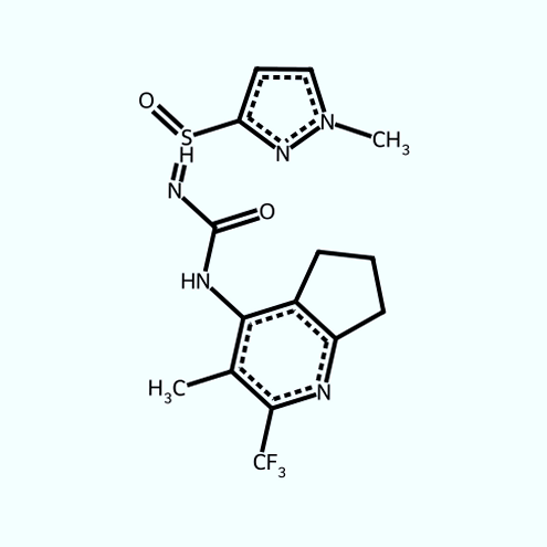 Cc1c(C(F)(F)F)nc2c(c1NC(=O)/N=[SH](=O)\c1ccn(C)n1)CCC2